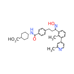 Cc1cc(-c2cccc(/C(CCc3ccc(C(=O)N[C@H]4CC[C@H](C(=O)O)CC4)cc3)=N/O)c2C)ccn1